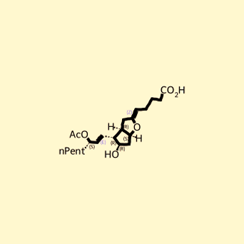 CCCCC[C@@H](/C=C/[C@@H]1[C@H]2C/C(=C/CCCC(=O)O)O[C@H]2C[C@H]1O)OC(C)=O